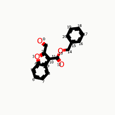 O=[C]c1oc2ccccc2c1C(=O)OCc1ccccc1